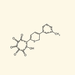 Cc1cc(C2=CC=C(c3c(O)c(=O)c(=O)c(=O)c(=O)c3=O)SC2)ccn1